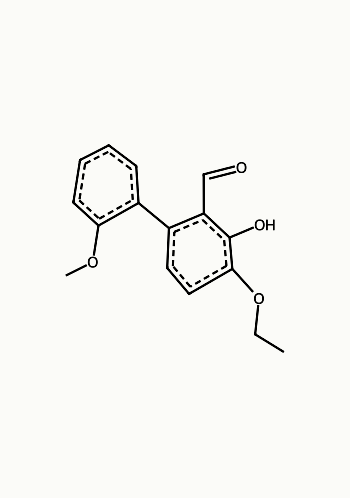 CCOc1ccc(-c2ccccc2OC)c(C=O)c1O